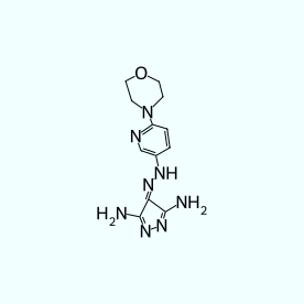 NC1=NN=C(N)C1=NNc1ccc(N2CCOCC2)nc1